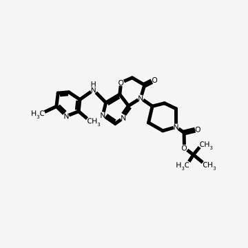 Cc1ccc(Nc2ncnc3c2OCC(=O)N3C2CCN(C(=O)OC(C)(C)C)CC2)c(C)n1